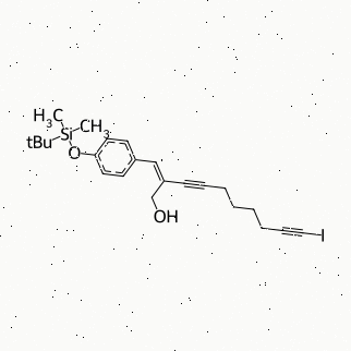 CC(C)(C)[Si](C)(C)Oc1ccc(/C=C(/C#CCCCCC#CI)CO)cc1